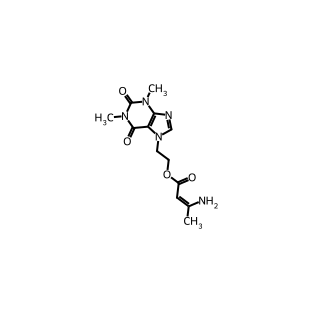 C/C(N)=C/C(=O)OCCn1cnc2c1c(=O)n(C)c(=O)n2C